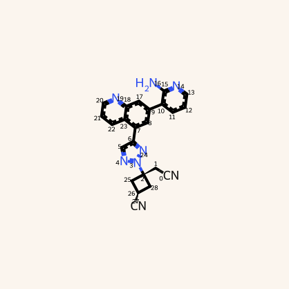 N#CC[C@]1(n2ncc(-c3cc(-c4cccnc4N)cc4ncccc34)n2)C[C@H](C#N)C1